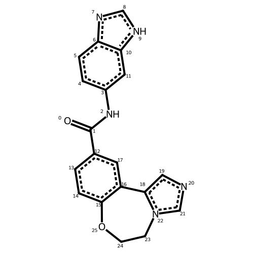 O=C(Nc1ccc2nc[nH]c2c1)c1ccc2c(c1)-c1cncn1CCO2